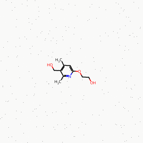 Cc1cc(OCCO)nc(C)c1CO